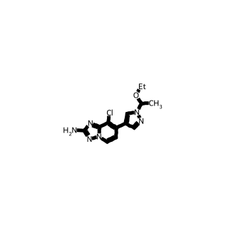 CCOC(C)n1cc(-c2ccn3nc(N)nc3c2Cl)cn1